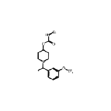 CCNC(=O)OC1CCN(C(C)c2cccc(OC(F)(F)F)c2)CC1